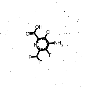 Nc1c(F)c(C(F)F)nc(C(=O)O)c1Cl